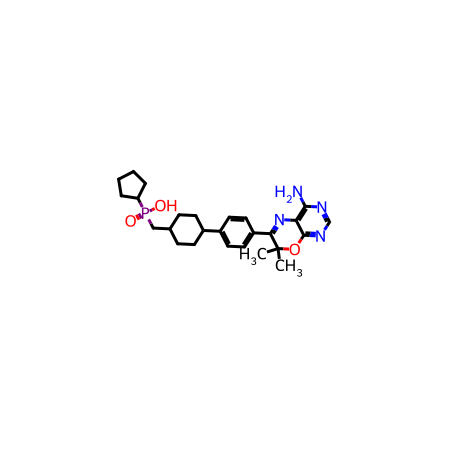 CC1(C)Oc2ncnc(N)c2N=C1c1ccc(C2CCC(CP(=O)(O)C3CCCC3)CC2)cc1